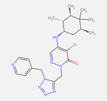 C[C@@H]1[C@@H](C)C(C)(C)[C@@H](C)C[C@H]1Nc1cnn(Cc2nnnn2Cc2ccncc2)c(=O)c1Br